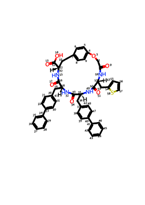 O=C1COc2ccc(cc2)C[C@@H](C(=O)O)NC(=O)[C@@H](Cc2ccc(-c3ccccc3)cc2)NC(=O)[C@H](Cc2ccc(-c3ccccc3)cc2)NC(=O)[C@@H](Cc2cccs2)N1